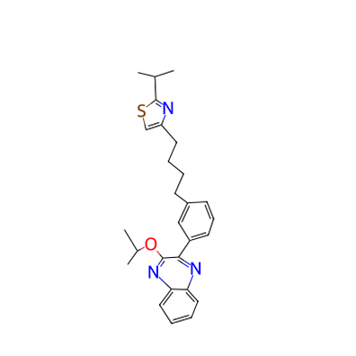 CC(C)Oc1nc2ccccc2nc1-c1cccc(CCCCc2csc(C(C)C)n2)c1